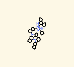 C1=Cc2ccc(C3N=C(c4ccccc4)NC(c4cc5ccccc5c5ccccc45)N3)cc2C(N2C3=Cc4ccccc4C(n4c5ccccc5c5cc6ccccc6cc54)C3c3ccccc32)C1